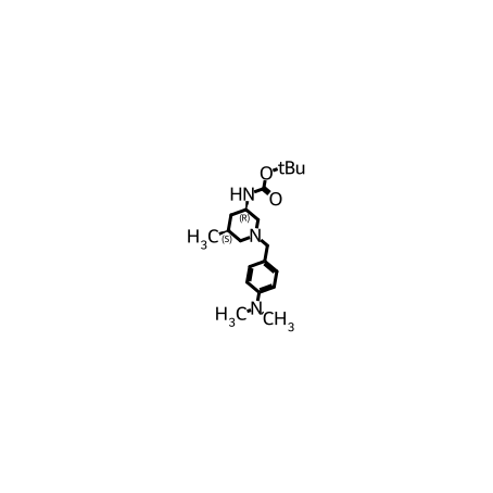 C[C@H]1C[C@@H](NC(=O)OC(C)(C)C)CN(Cc2ccc(N(C)C)cc2)C1